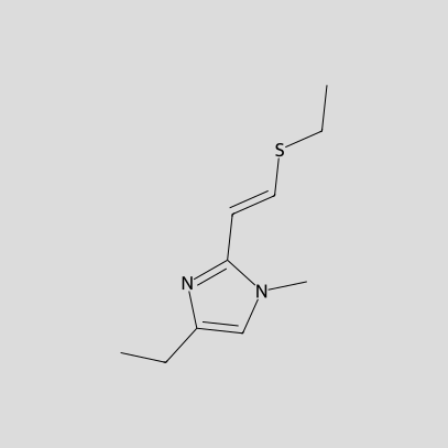 CCSC=Cc1nc(CC)cn1C